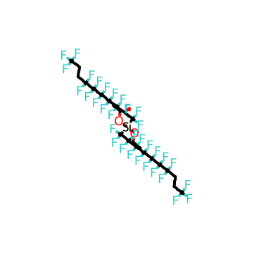 CCO[Si](OCC)(C(F)(F)C(F)(F)C(F)(F)C(F)(F)C(F)(F)C(F)(F)C(F)(F)CCC(F)(F)F)C(F)(F)C(F)(F)C(F)(F)C(F)(F)C(F)(F)C(F)(F)C(F)(F)CCC(F)(F)F